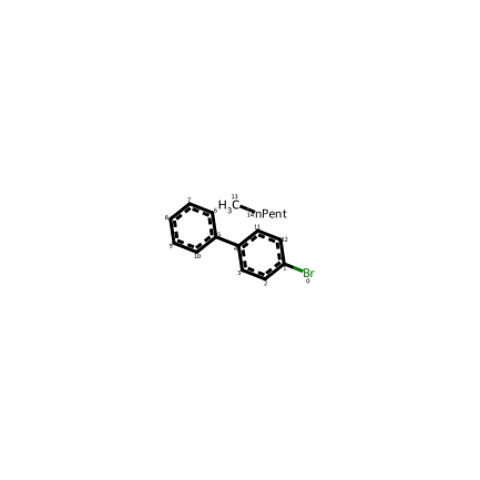 Brc1ccc(-c2ccccc2)cc1.CCCCCC